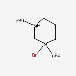 CCCC[SiH]1CCC[Si](Br)(CCCC)C1